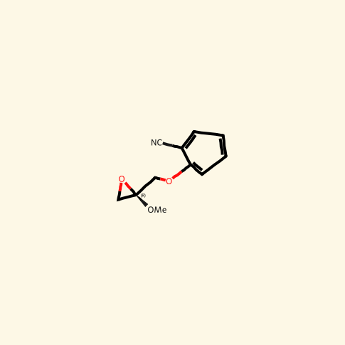 CO[C@@]1(COc2ccccc2C#N)CO1